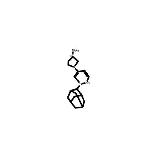 CN[C@@H]1CCN(C2=CN(C3C4CC5CC(C4)CC3C5)NC=C2)C1